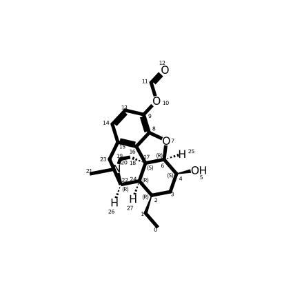 CC[C@@H]1C[C@H](O)[C@@H]2Oc3c(OC=O)ccc4c3[C@@]23CCN(C)[C@H](C4)[C@H]13